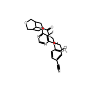 CCCCOC(=O)N1CC2COCC(C1)C2Oc1ncnc(Nc2ccc(C#N)cc2Cl)c1F